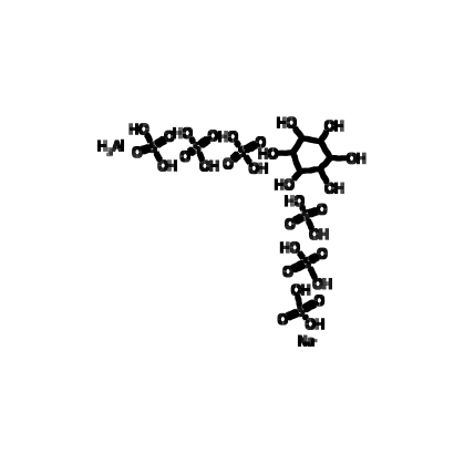 O=S(=O)(O)O.O=S(=O)(O)O.O=S(=O)(O)O.O=S(=O)(O)O.O=S(=O)(O)O.O=S(=O)(O)O.OC1C(O)C(O)C(O)C(O)C1O.[AlH3].[Na]